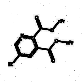 CCCOC(=O)c1cc(CC)cnc1C(=O)OCCC